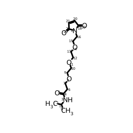 CC(C)NC(=O)CCOCCOCCOCCN1C(=O)C=CC1=O